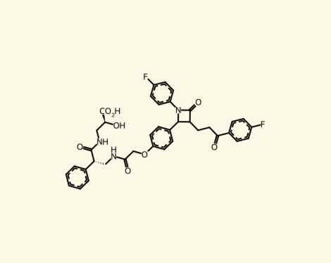 O=C(COc1ccc(C2C(CCC(=O)c3ccc(F)cc3)C(=O)N2c2ccc(F)cc2)cc1)NC[C@@H](C(=O)NC[C@H](O)C(=O)O)c1ccccc1